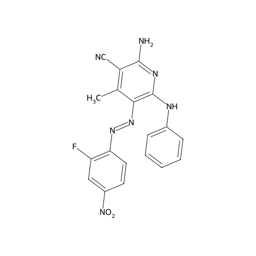 Cc1c(C#N)c(N)nc(Nc2ccccc2)c1N=Nc1ccc([N+](=O)[O-])cc1F